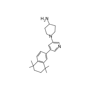 CC1(C)CCC(C)(C)c2cc(-c3cncc(N4CCC(N)CC4)c3)ccc21